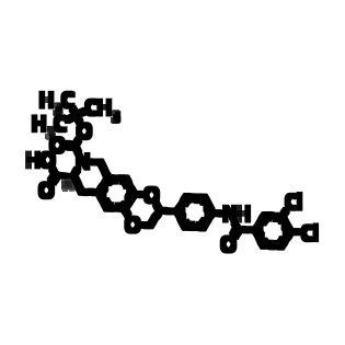 CC(C)(C)OC(=O)N1Cc2cc3c(cc2C[C@H]1C(=O)O)OCC(c1ccc(NC(=O)c2ccc(Cl)c(Cl)c2)cc1)O3